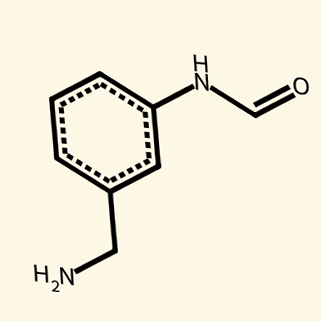 NCc1cccc(NC=O)c1